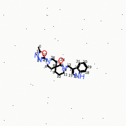 Cc1nnc(N2CCC3(CCCN(Cc4c[nH]c5ccccc45)C3=O)CC2)o1